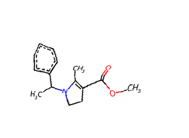 COC(=O)C1=C(C)N(C(C)c2ccccc2)CC1